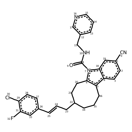 N#Cc1ccc2c3c(n(C(=O)NCc4cccnc4)c2c1)CCC(C/C=C/c1ccc(Cl)c(F)c1)CCC3